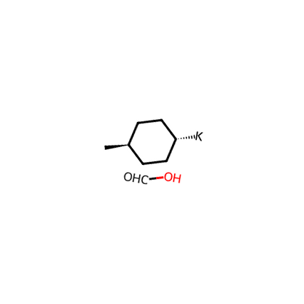 C[C@H]1CC[C@H]([K])CC1.O=CO